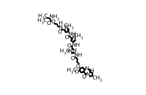 C=C1C[C@H]2C=Nc3cc(OCCCC(=O)Nc4cn(C)c(C(=O)Nc5cc(C(=O)Nc6cc(C(=O)NCCCOC(=O)C(N)C(C)C)n(C)c6)n(C)c5)n4)c(OC)cc3C(=O)N2C1